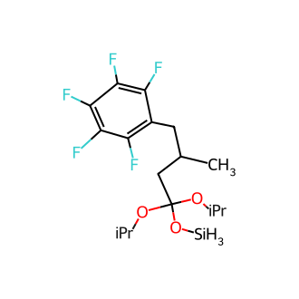 CC(Cc1c(F)c(F)c(F)c(F)c1F)CC(O[SiH3])(OC(C)C)OC(C)C